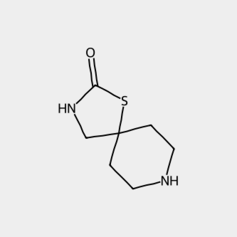 O=C1NCC2(CCNCC2)S1